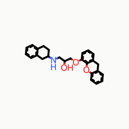 OC(CNC1CCc2ccccc2C1)COc1cccc2c1Oc1ccccc1C2